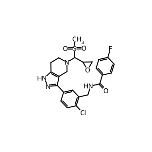 CS(=O)(=O)C(C1CO1)N1CCc2[nH]nc(-c3ccc(Cl)c(CNC(=O)c4ccc(F)cc4)c3)c2C1